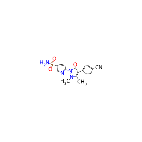 Cc1c(-c2ccc(C#N)cc2)c(=O)n(-c2ccc(S(N)(=O)=O)cn2)n1C